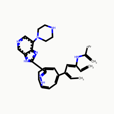 C=C\C(=C/C(=C\C)C1=C/C=C2\CC/C(=C\1)C(c1nc3c(N4CCNCC4)cncc3[nH]1)=NN2)NC(=C)CCC